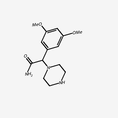 COc1cc(OC)cc(C(C(N)=O)N2CCNCC2)c1